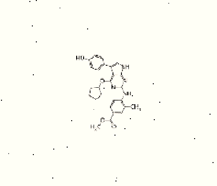 COC(=O)c1ccc(Nc2nc(OC3CCCC3)c3c(-c4ccc(O)cc4)c[nH]c3n2)c(C)c1